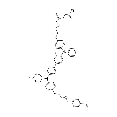 C=Cc1ccc(COCCCc2ccc(N(C3=CC=C(C4=CC=C(N(c5ccc(C)cc5)c5ccc(CCCOCC(=C)CCC(=C)CC)cc5)C(C)C4)CC3C)C3C=CC(C)=CC3)cc2)cc1